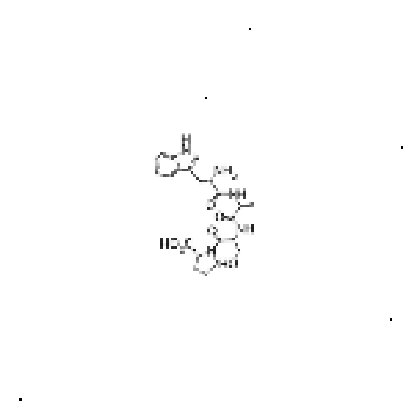 C[C@H](NC(=O)[C@@H](N)Cc1c[nH]c2ccccc12)C(=O)N[C@@H](CO)C(=O)N1CCC[C@H]1C(=O)O